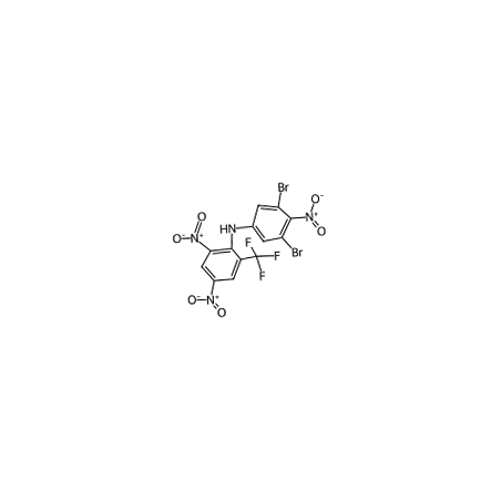 O=[N+]([O-])c1cc([N+](=O)[O-])c(Nc2cc(Br)c([N+](=O)[O-])c(Br)c2)c(C(F)(F)F)c1